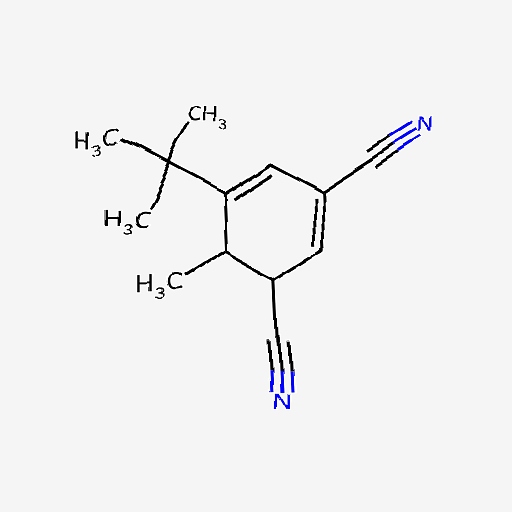 CC1C(C(C)(C)C)=CC(C#N)=CC1C#N